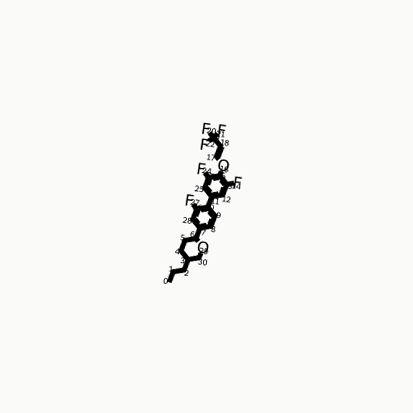 CCCC1CCC(c2ccc(-c3cc(F)c(O/C=C/C(F)(F)F)c(F)c3)c(F)c2)OC1